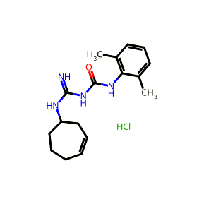 Cc1cccc(C)c1NC(=O)NC(=N)NC1CC=CCCC1.Cl